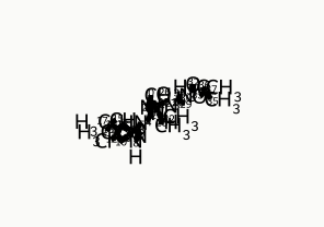 Cc1nc(CNc2n[nH]c3cc(Cl)c(C(C)(C)C)cc23)n(C(C)C)c1C(=O)NC1CN(C(=O)OC(C)(C)C)C1